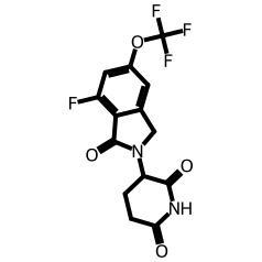 O=C1CCC(N2Cc3cc(OC(F)(F)F)cc(F)c3C2=O)C(=O)N1